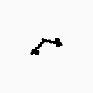 CCOC(=O)CC/C=C/CCC(C)CC/C=C/CCC(=O)OCC